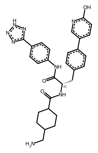 NCC1CCC(C(=O)N[C@@H](Cc2ccc(-c3ccc(O)nc3)cc2)C(=O)Nc2ccc(-c3nn[nH]n3)cc2)CC1